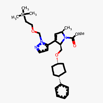 COC(=O)N1[C@H](C)C=C(c2ccnn2COCC[Si](C)(C)C)[C@@H]1CO[C@H]1CC[C@@H](c2ccccc2)CC1